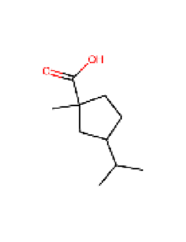 CC(C)C1CCC(C)(C(=O)O)C1